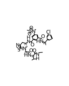 CCNC(=O)[C@@H](NC(=O)[C@H](C)NC[C@H](Cc1cscn1)NC(=O)c1cc(C(=O)N[C@H](C)c2cccc(Cl)c2)cc(N(C)S(C)(=O)=O)c1)C(C)C